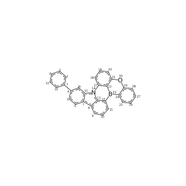 c1ccc(-c2ccc3c4cccc5c4n(c3c2)-c2cccc3c2B5c2ccccc2O3)cc1